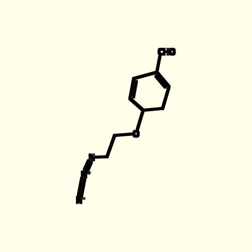 [N-]=[N+]=NCCOC1C=CC(C=O)=CC1